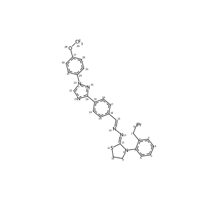 CC(C)Cc1ccccc1N1CCS/C1=N\N=C\c1ccc(-c2ncn(-c3ccc(OC(F)(F)F)cc3)n2)cc1